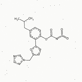 CC(C)Cc1ccc(OC(=O)N=S(=O)=O)c(-c2ccc(Cn3ccnc3)o2)c1